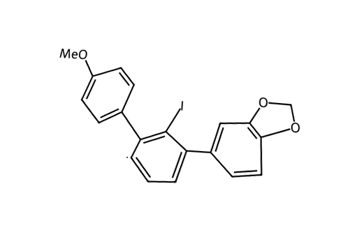 COc1ccc(-c2[c]ccc(-c3ccc4c(c3)OCO4)c2I)cc1